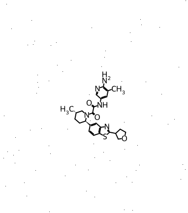 Cc1cc(NC(=O)C(=O)N2C[C@@H](C)CC[C@@H]2c2ccc3sc(C4CCOC4)nc3c2)cnc1N